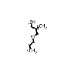 CCCOCC(C)CS